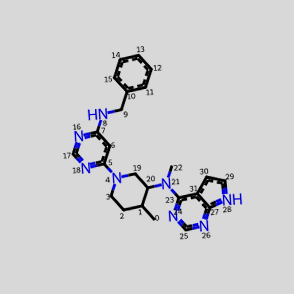 CC1CCN(c2cc(NCc3ccccc3)ncn2)CC1N(C)c1ncnc2[nH]ccc12